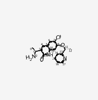 C[C@H](N)c1cc2cc(Cl)c(O[C@H](C)c3ccccn3)cc2[nH]c1=O